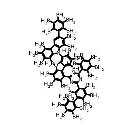 Bc1c(B)c(B)c(-c2nc(-c3c(B)c(B)c(B)c(-c4c(B)c(B)c(B)c(B)c4B)c3B)nc(-c3c(B)c(B)c(B)c4oc5c(-n6c7c(B)c(B)c(-c8c(B)c(B)c(B)c(B)c8B)cc7c7c(B)c(B)c(B)c(B)c76)c(B)c(B)c(B)c5c34)n2)c(B)c1B